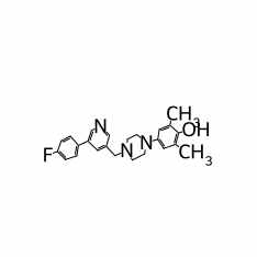 Cc1cc(N2CCN(Cc3cncc(-c4ccc(F)cc4)c3)CC2)cc(C)c1O